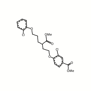 COC(=O)c1ccc(OCCC(CCCOc2ccccc2Cl)C(=O)OC)c(Cl)c1